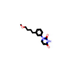 COCCCCc1cccc(-n2ccc(=O)[nH]c2=O)c1